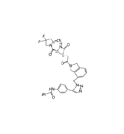 CC(C)C(=O)Nc1ccc(-c2cnnn2Cc2cccc3c2CN(C(=O)C[C@@H]2C[C@@H](C(=O)N4CC(F)(F)C[C@H]4C#N)NC2=O)C3)cc1